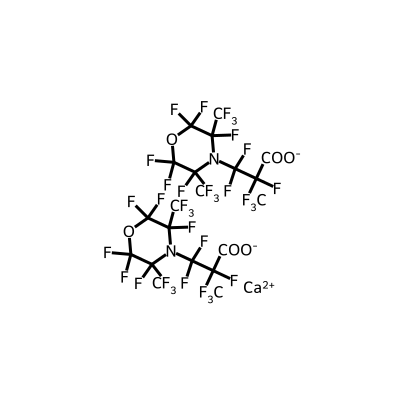 O=C([O-])C(F)(C(F)(F)F)C(F)(F)N1C(F)(C(F)(F)F)C(F)(F)OC(F)(F)C1(F)C(F)(F)F.O=C([O-])C(F)(C(F)(F)F)C(F)(F)N1C(F)(C(F)(F)F)C(F)(F)OC(F)(F)C1(F)C(F)(F)F.[Ca+2]